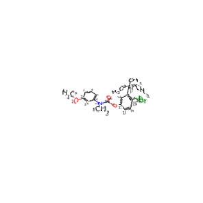 COc1cccc(N(C)C(=O)Oc2ccc(Br)c(C(C)(C)C)c2)c1